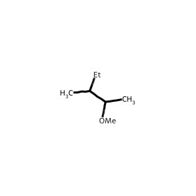 [C]OC(C)C(C)CC